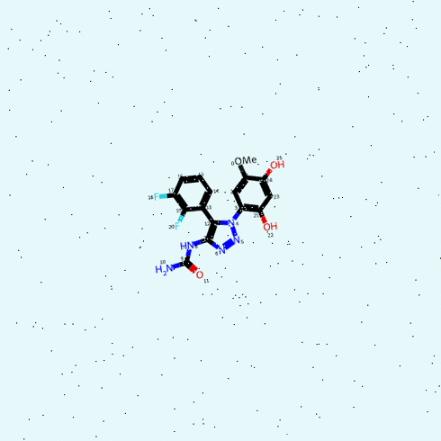 COc1cc(-n2nnc(NC(N)=O)c2-c2cccc(F)c2F)c(O)cc1O